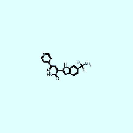 CCC(N)(CC)c1ccc2cc(-c3cc(-c4ccncc4)n[nH]c3=O)[nH]c2c1